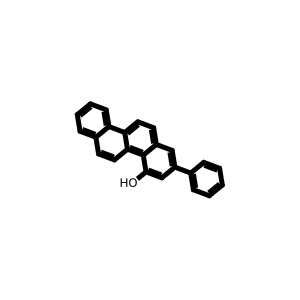 Oc1cc(-c2ccccc2)cc2ccc3c4ccccc4ccc3c12